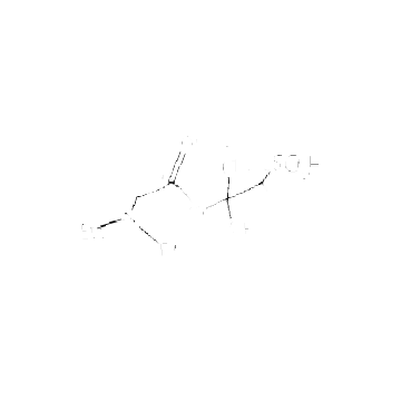 CCN(CC)CC(=O)OC(CS(=O)(=O)O)(C(F)(F)F)C(F)(F)F